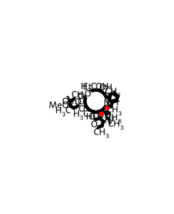 CCCN1C[C@@H](C)[C@@H](O)[C@](C)(O)[C@@H](CC)OC(=O)C(C)[C@H](OC2C[C@@](C)(OC)[C@@]3(CO3)[C@H](C)O2)[C@H](C)[C@@H](O[C@@H]2O[C@H](C)C[C@H](N(C)C)[C@H]2OC(=O)OCc2ccccc2)[C@](C)(O)C[C@H]1C